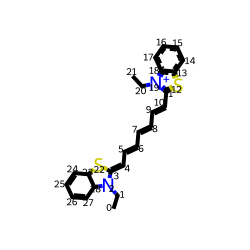 CCN1/C(=C/C=C/C=C/C=C/c2sc3ccccc3[n+]2CC)SC2C=CC=CC21